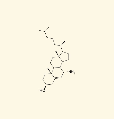 CC(C)CCC[C@@H](C)C1CCC2C3C(CC[C@@]21C)[C@@]1(C)CC[C@H](O)CC1=C[C@H]3N